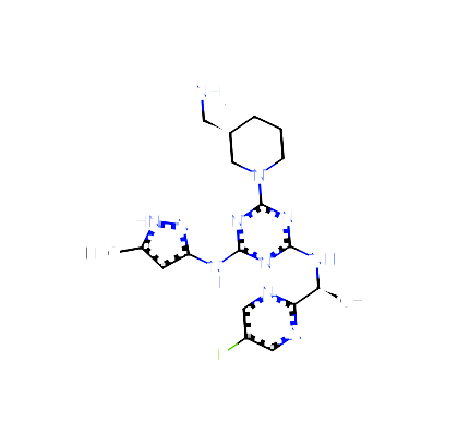 Cc1cc(Nc2nc(N[C@@H](C)c3ncc(F)cn3)nc(N3CCC[C@H](CN)C3)n2)n[nH]1